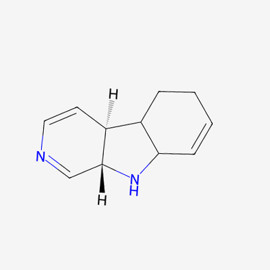 C1=CC2N[C@@H]3C=NC=C[C@H]3C2CC1